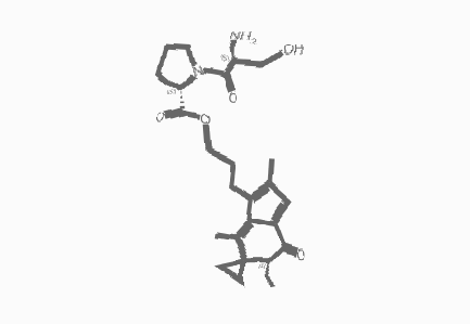 CC1=C(CCCOC(=O)[C@@H]2CCCN2C(=O)[C@@H](N)CO)C2=C(C)C3(CC3)[C@H](C)C(=O)C2=C1